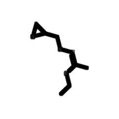 CCO/C(C)=N\OCC1CO1